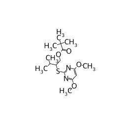 COc1cc(OC)nc(SC(COC(=O)C(C)(C)C)C(C)C)n1